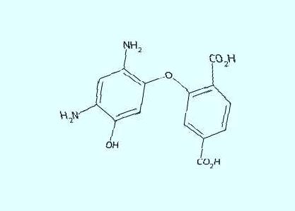 Nc1cc(N)c(Oc2cc(C(=O)O)ccc2C(=O)O)cc1O